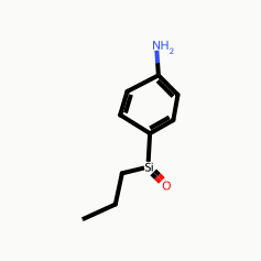 CCC[Si](=O)c1ccc(N)cc1